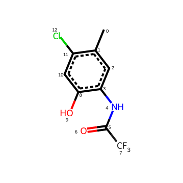 Cc1cc(NC(=O)C(F)(F)F)c(O)cc1Cl